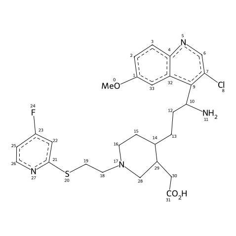 COc1ccc2ncc(Cl)c(C(N)CCC3CCN(CCSc4cc(F)ccn4)CC3CC(=O)O)c2c1